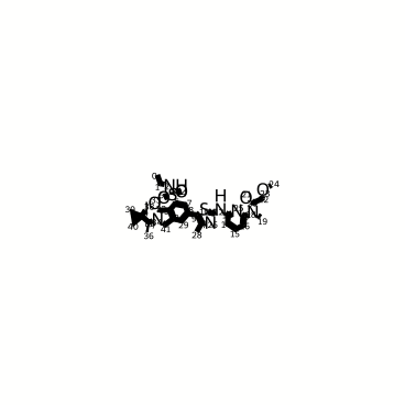 CCNS(=O)(=O)c1cc(-c2sc(Nc3cccc(N(C)C(=O)COC)n3)nc2C)cc2c1C(=O)N([C@@H](C)C1(I)CC1)C2